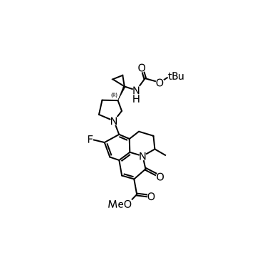 COC(=O)c1cc2cc(F)c(N3CC[C@@H](C4(NC(=O)OC(C)(C)C)CC4)C3)c3c2n(c1=O)C(C)CC3